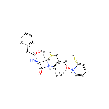 O=C(Cc1ccccc1)N[C@@H]1C(=O)N2C(C(=O)O)=C(COn3ccccc3=S)CS[C@H]12